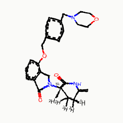 [2H]C1([2H])C(=C)NC(=O)[C@@]([2H])(N2Cc3c(OCc4ccc(CN5CCOCC5)cc4)cccc3C2=O)C1([2H])[2H]